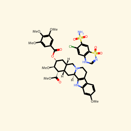 COC(=O)[C@H]1[C@H]2C[C@@H]3c4[nH]c5cc(OC)ccc5c4CCN3C[C@H]2C[C@@H](OC(=O)c2cc(OC)c(OC)c(OC)c2)[C@@H]1OC.NS(=O)(=O)c1cc2c(cc1Cl)NC=NS2(=O)=O